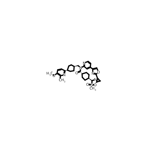 COc1ccc([C@H]2CC[C@H](CN(c3cc(-c4coc(C5CC5)n4)ccn3)C(=O)[C@H]3CC[C@H](C(N)S(C)(=O)=O)CC3)CC2)nc1C